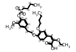 CCCCOc1cc(/C=C(/OCC)C(=O)O)ccc1OCCc1ccc(OS(=O)(=O)CCCC)c(OC)c1